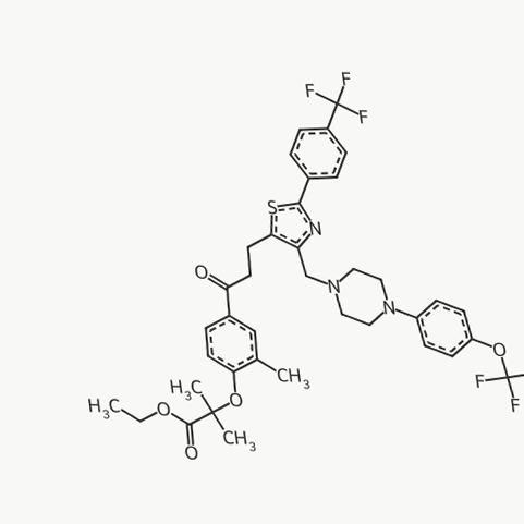 CCOC(=O)C(C)(C)Oc1ccc(C(=O)CCc2sc(-c3ccc(C(F)(F)F)cc3)nc2CN2CCN(c3ccc(OC(F)(F)F)cc3)CC2)cc1C